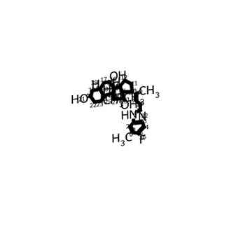 Cc1cc2[nH]c(CCC(C)[C@H]3CC[C@H]4[C@@H]5[C@H](O)C[C@@H]6C[C@H](O)CC[C@]6(C)[C@H]5C[C@H](O)[C@]34C)nc2cc1F